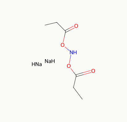 CCC(=O)ONOC(=O)CC.[NaH].[NaH]